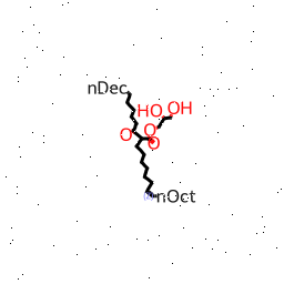 CCCCCCCC/C=C\CCCCCCC(C(=O)CCCCCCCCCCCCCCC)C(=O)OCC(O)CO